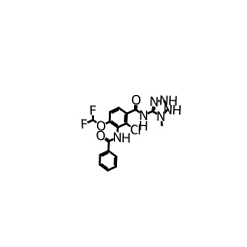 CN1NNN=C1NC(=O)c1ccc(OC(F)F)c(NC(=O)c2ccccc2)c1Cl